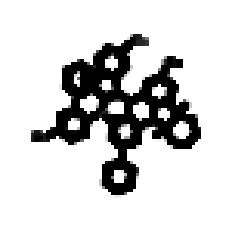 CC(C)(C)c1ccc2c(c1)C1=C(N(c3ccc(C(C)(C)C)cc3-c3ccccc3)c3cc(-c4ccccc4)cc4c3B1c1cc(C(C)(C)C)cc3c1C4C1(C)CCCCC31C)C2(C)C